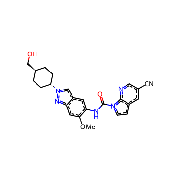 COc1cc2nn([C@H]3CC[C@H](CO)CC3)cc2cc1NC(=O)n1ccc2cc(C#N)cnc21